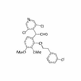 COc1ccc(C(C=O)c2c(Cl)cncc2Cl)c(OCCc2cccc(Cl)c2)c1OC